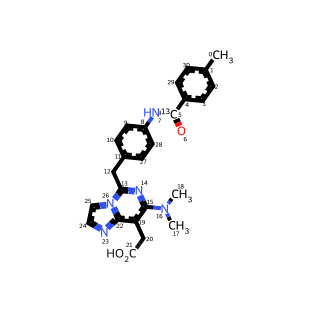 Cc1ccc([13C](=O)Nc2ccc(Cc3nc(N(C)C)c(C[13C](=O)O)c4nccn34)cc2)cc1